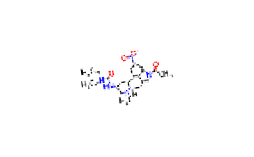 CCN(CC)C(=O)N[C@H]1CC2c3cc([N+](=O)[O-])cc4c3c(cn4C(C)=O)C[C@H]2N(C)C1